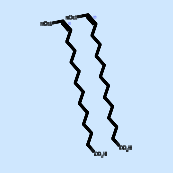 CCCCCCCC/C=C\CCCCCCCCCCCC(=O)O.CCCCCCCC/C=C\CCCCCCCCCCCC(=O)O